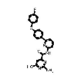 Nc1nc(O)cc(C(=O)Nc2cccc(-c3ccc(Oc4ccc(F)cc4)cc3)n2)n1